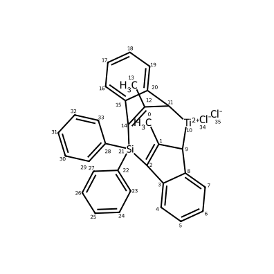 CC1=C2c3ccccc3[CH]1[Ti+2][CH]1C(C)=C(c3ccccc31)[Si]2(c1ccccc1)c1ccccc1.[Cl-].[Cl-]